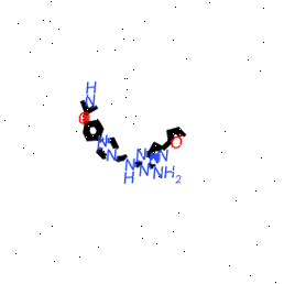 Nc1nc(NCCN2CCN(c3ccc(OC4CNC4)cc3)CC2)nc2cc(-c3ccco3)nn12